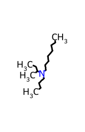 CCCCCCCCN(CCCC)C(C)CC